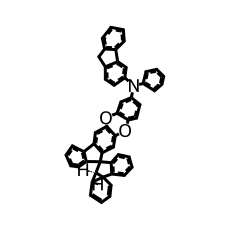 C1=C[C@@H]2[C@H]3C4(c5ccccc5-c5cc6c(cc54)Oc4ccc(N(c5ccccc5)c5ccc7c(c5)-c5ccccc5C7)cc4O6)c4ccccc4C23C=C1